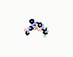 Cc1cc(N2CCCC2=O)ncc1-n1c(=O)n(CC2CCC(NC(=O)c3cc(Cl)cnc3C(F)F)CC2)c2ccccc21